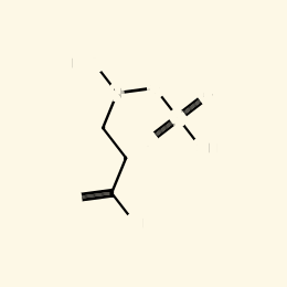 CN(CCC(=O)O)OS(=O)(=O)O